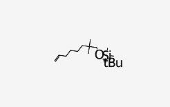 C=CCCCCC(C)(C)CO[Si](C)(C)C(C)(C)C